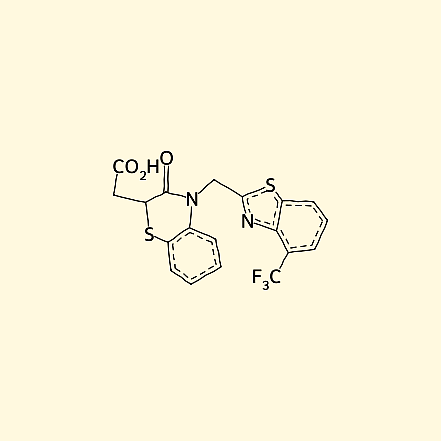 O=C(O)CC1Sc2ccccc2N(Cc2nc3c(C(F)(F)F)cccc3s2)C1=O